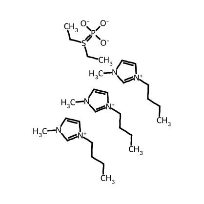 CCCC[n+]1ccn(C)c1.CCCC[n+]1ccn(C)c1.CCCC[n+]1ccn(C)c1.CCS(CC)=P([O-])([O-])[O-]